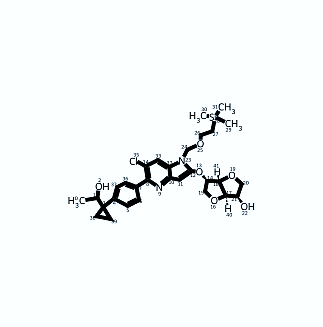 CC(O)C1(c2ccc(-c3nc4cc(O[C@@H]5CO[C@H]6[C@@H]5OC[C@H]6O)n(COCC[Si](C)(C)C)c4cc3Cl)cc2)CC1